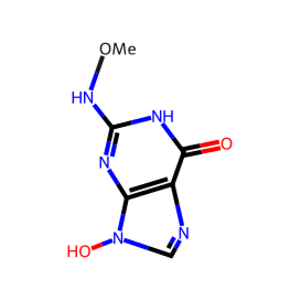 CONc1nc2c(ncn2O)c(=O)[nH]1